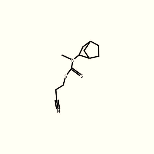 CN(C(=S)SCCC#N)C1CC2CCC1C2